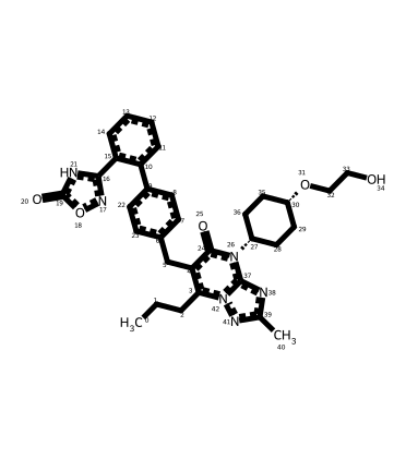 CCCc1c(Cc2ccc(-c3ccccc3-c3noc(=O)[nH]3)cc2)c(=O)n([C@H]2CC[C@@H](OCCO)CC2)c2nc(C)nn12